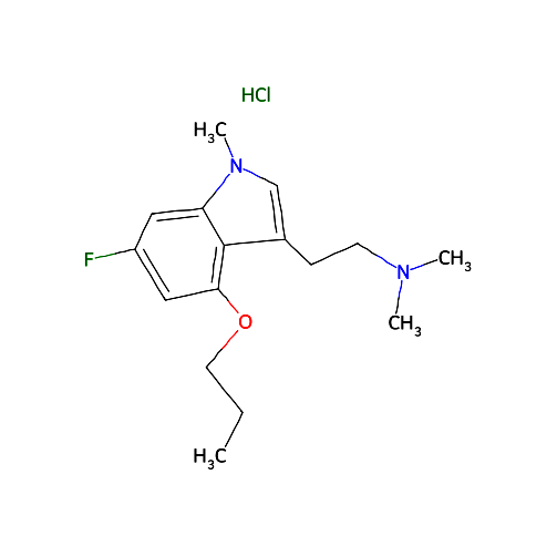 CCCOc1cc(F)cc2c1c(CCN(C)C)cn2C.Cl